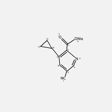 COC(=O)c1ncc(C#N)cc1C1CC1